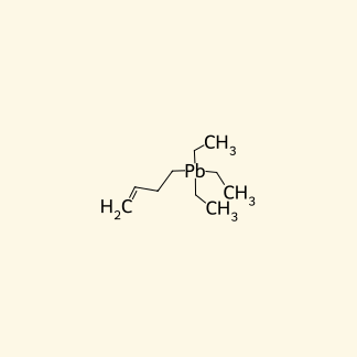 C=CC[CH2][Pb]([CH2]C)([CH2]C)[CH2]C